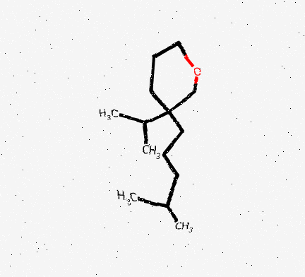 CC(C)CCCC1(C(C)C)CCCOC1